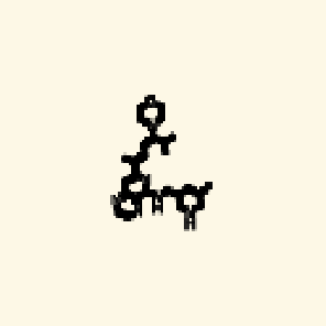 C/C(=C\C=C(/C(C)C)N1CCOCC1)c1cc2nccnc2c(NCC2CNCC(F)C2)n1